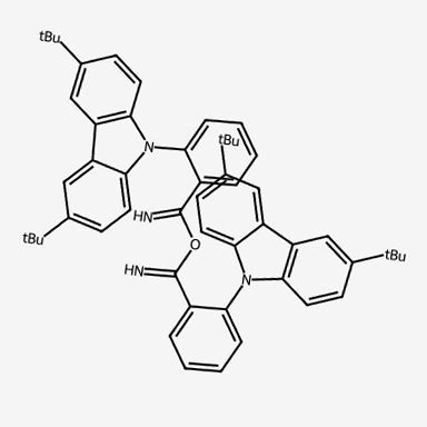 CC(C)(C)c1ccc2c(c1)c1cc(C(C)(C)C)ccc1n2-c1ccccc1C(=N)OC(=N)c1ccccc1-n1c2ccc(C(C)(C)C)cc2c2cc(C(C)(C)C)ccc21